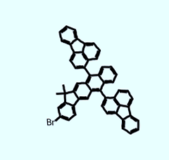 CC1(C)c2cc(Br)ccc2-c2cc3c(-c4ccc5c6c(cccc46)-c4ccccc4-5)c4ccccc4c(-c4ccc5c6c(cccc46)-c4ccccc4-5)c3cc21